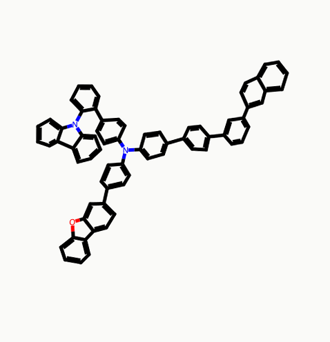 c1cc(-c2ccc(-c3ccc(N(c4ccc(-c5ccc6c(c5)oc5ccccc56)cc4)c4ccc(-c5ccccc5-n5c6ccccc6c6ccccc65)cc4)cc3)cc2)cc(-c2ccc3ccccc3c2)c1